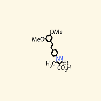 CCc1nn(-c2ccc(C=Cc3cc(OC)cc(OC)c3)cc2)c(C)c1C(=O)O